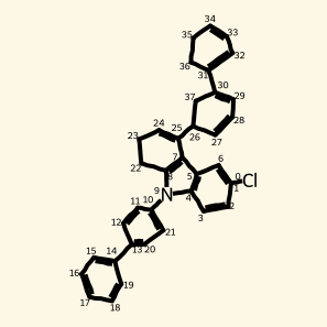 Clc1ccc2c(c1)c1c(n2-c2ccc(-c3ccccc3)cc2)CCC=C1C1C=CC=C(C2=CC=CCC2)C1